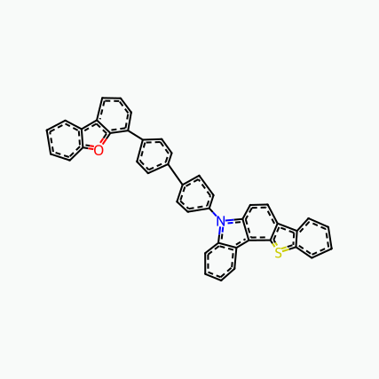 c1ccc2c(c1)oc1c(-c3ccc(-c4ccc(-n5c6ccccc6c6c7sc8ccccc8c7ccc65)cc4)cc3)cccc12